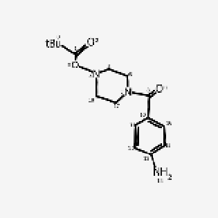 CC(C)(C)C(=O)ON1CCN(C(=O)c2ccc(N)cc2)CC1